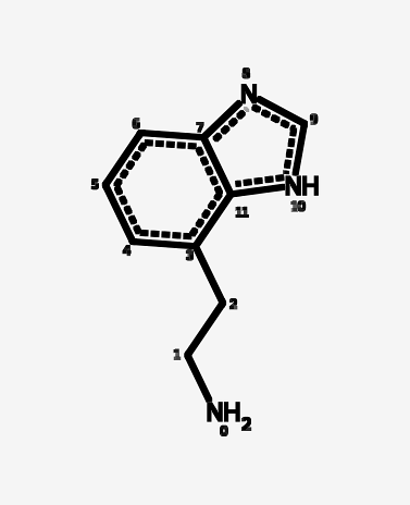 NCCc1cccc2nc[nH]c12